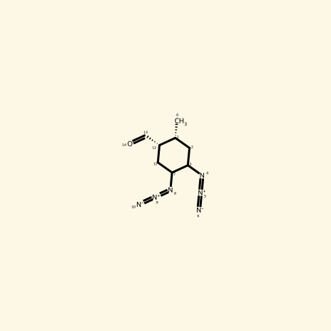 C[C@@H]1CC(N=[N+]=[N-])C(N=[N+]=[N-])C[C@@H]1C=O